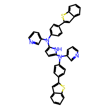 c1cncc(N(c2ccc(-c3cc4ccccc4s3)cc2)c2ccc(N(c3ccc(-c4cc5ccccc5s4)cc3)c3cccnc3)[nH]2)c1